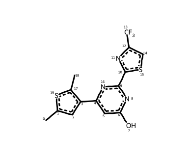 Cc1cc(-c2cc(O)nc(-c3nc(C(F)(F)F)cs3)n2)c(C)s1